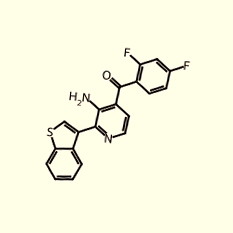 Nc1c(C(=O)c2ccc(F)cc2F)ccnc1-c1csc2ccccc12